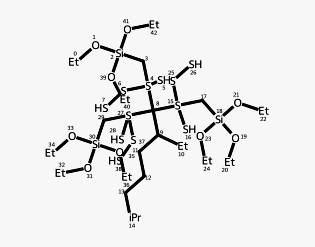 CCO[Si](CS(S)(SS)C(C(CC)CCCC(C)C)(S(S)(C[Si](OCC)(OCC)OCC)SS)S(S)(C[Si](OCC)(OCC)OCC)SS)(OCC)OCC